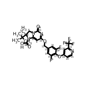 CC(C)(C)[C@@]1(C)Cn2c(cc(OCc3cc(F)c(Oc4ccnc(C(F)(F)F)c4)c(F)c3)nc2=O)N1C(=O)O